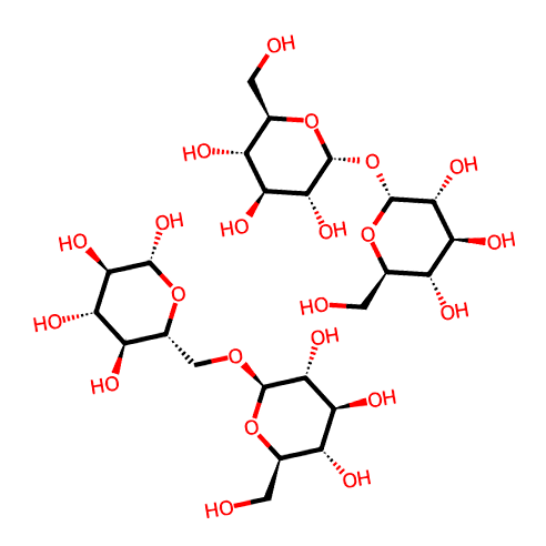 OC[C@H]1O[C@@H](OC[C@H]2O[C@@H](O)[C@H](O)[C@@H](O)[C@@H]2O)[C@H](O)[C@@H](O)[C@@H]1O.OC[C@H]1O[C@H](O[C@H]2O[C@H](CO)[C@@H](O)[C@H](O)[C@H]2O)[C@H](O)[C@@H](O)[C@@H]1O